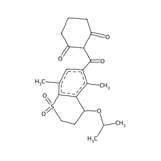 Cc1cc(C(=O)C2C(=O)CCCC2=O)c(C)c2c1S(=O)(=O)CCC2OC(C)C